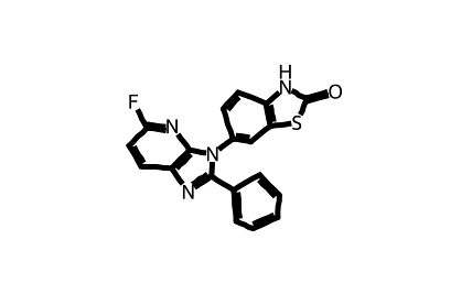 O=c1[nH]c2ccc(-n3c(-c4ccccc4)nc4ccc(F)nc43)cc2s1